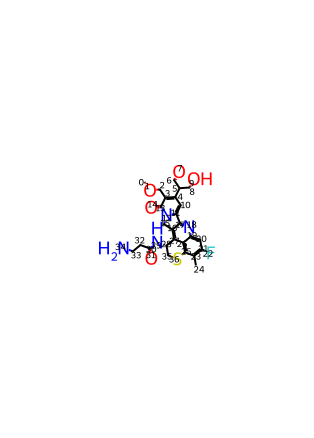 COCc1c(C(C=O)CO)cc2n(c1=O)Cc1c-2nc2cc(F)c(C)c3c2c1[C@@H](NC(=O)CCN)CS3